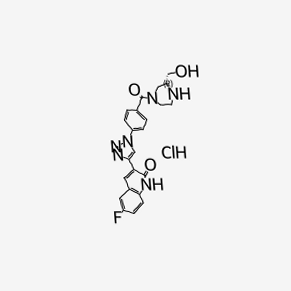 Cl.O=C(c1ccc(-n2cc(-c3cc4cc(F)ccc4[nH]c3=O)nn2)cc1)N1CCN[C@@H](CO)C1